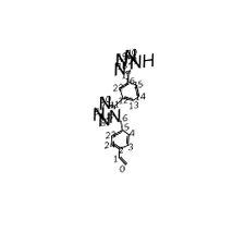 C=Cc1ccc(Cn2nnnc2-c2cccc(-c3nnn[nH]3)c2)cc1